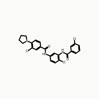 O=C(Nc1ccc(Cl)c(NC(=O)c2cccc(Cl)c2)c1)c1ccc(N2CCCC2)c(Cl)c1